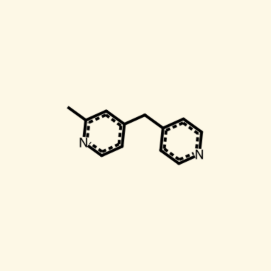 Cc1cc(Cc2ccncc2)ccn1